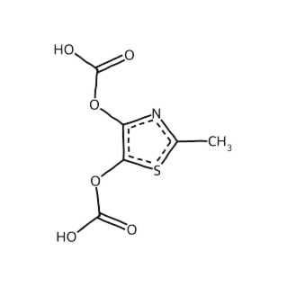 Cc1nc(OC(=O)O)c(OC(=O)O)s1